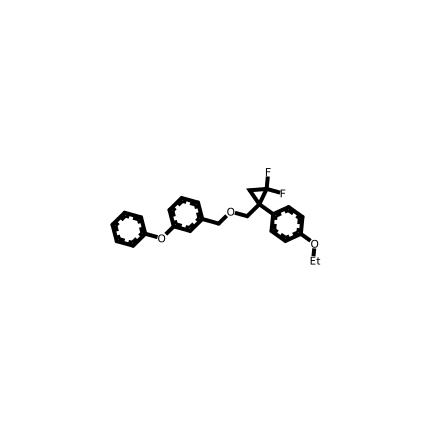 CCOc1ccc(C2(COCc3cccc(Oc4ccccc4)c3)CC2(F)F)cc1